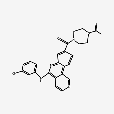 CC(=O)N1CCN(C(=O)c2ccc3c(c2)nc(Nc2cccc(Cl)c2)c2ccncc23)CC1